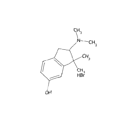 Br.CN(C)C1Cc2ccc(O)cc2C1(C)C